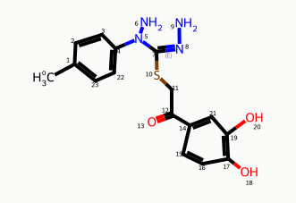 Cc1ccc(N(N)/C(=N\N)SCC(=O)c2ccc(O)c(O)c2)cc1